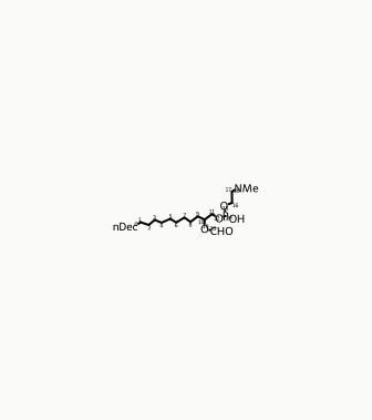 CCCCCCCCCCCCCCCCCCCC(COP(O)OCCNC)OC=O